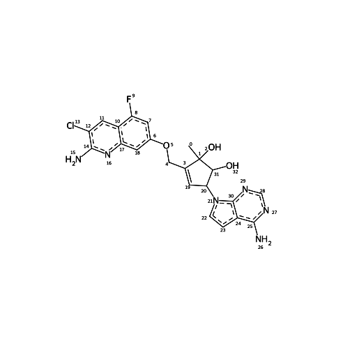 CC1(O)C(COc2cc(F)c3cc(Cl)c(N)nc3c2)=CC(n2ccc3c(N)ncnc32)C1O